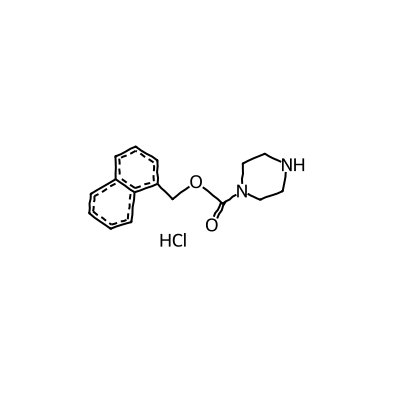 Cl.O=C(OCc1cccc2ccccc12)N1CCNCC1